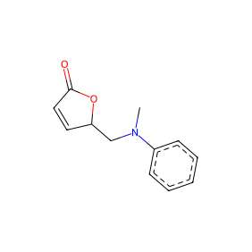 CN(CC1C=CC(=O)O1)c1ccccc1